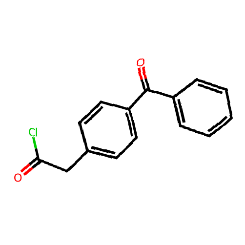 O=C(Cl)Cc1ccc(C(=O)c2ccccc2)cc1